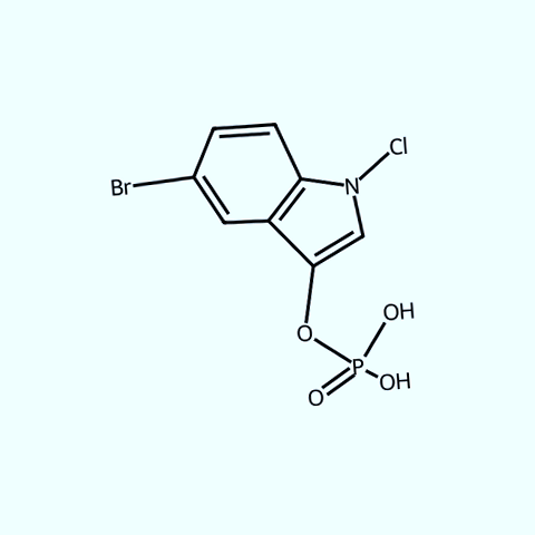 O=P(O)(O)Oc1cn(Cl)c2ccc(Br)cc12